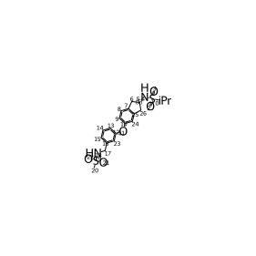 CC(C)S(=O)(=O)N[C@H]1Cc2ccc(Oc3cccc(CNS(C)(=O)=O)c3)cc2C1